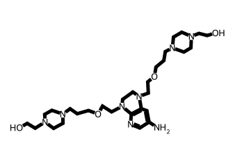 Nc1cnc2c(c1)N(CCOCCCN1CCN(CCO)CC1)CCN2CCOCCCN1CCN(CCO)CC1